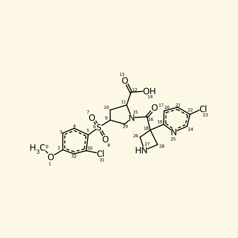 COc1ccc(S(=O)(=O)C2CC(C(=O)O)N(C(=O)C3(c4ccc(Cl)cn4)CNC3)C2)c(Cl)c1